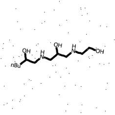 CCCCC(O)CNCC(O)CNCCO